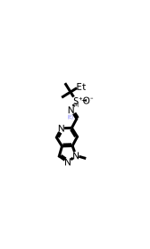 CCC(C)(C)[S@@+]([O-])/N=C/c1cc2c(cn1)cnn2C